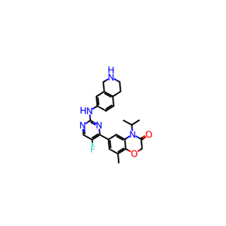 Cc1cc(-c2nc(Nc3ccc4c(c3)CNCC4)ncc2F)cc2c1OCC(=O)N2C(C)C